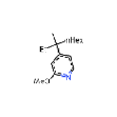 CCCCCCC(C)(CC)c1ccnc(OC)c1